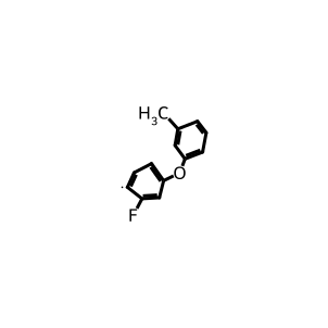 Cc1cccc(Oc2cc[c]c(F)c2)c1